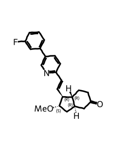 CO[C@H]1C[C@@H]2CC(=O)CC[C@H]2[C@@H]1C=Cc1ccc(-c2cccc(F)c2)cn1